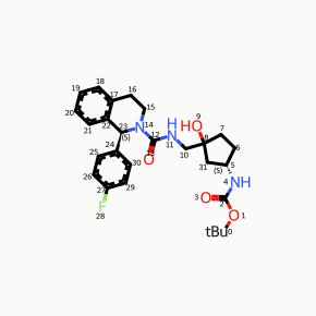 CC(C)(C)OC(=O)N[C@H]1CCC(O)(CNC(=O)N2CCc3ccccc3[C@@H]2c2ccc(F)cc2)C1